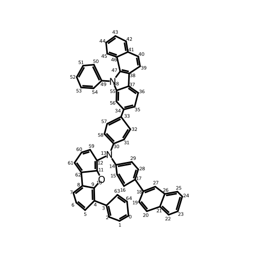 c1ccc(-c2cccc3c2oc2c(N(c4ccc(-c5ccc6ccccc6c5)cc4)c4ccc(-c5ccc6c7ccc8ccccc8c7n(-c7ccccc7)c6c5)cc4)cccc23)cc1